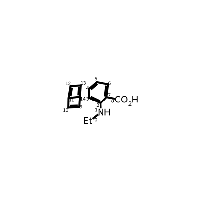 CCNc1ccccc1C(=O)O.c1cc2ccc1-2